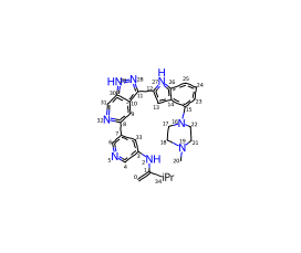 C=C(Nc1cncc(-c2cc3c(-c4cc5c(N6CCN(C)CC6)cccc5[nH]4)n[nH]c3cn2)c1)C(C)C